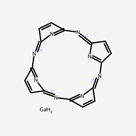 C1=C/C2=N/C3=NC(=N\C4=NC(=N\C5=NC(=N\C1=N2)/C=C5)/C=C4)/C=C3.[GaH3]